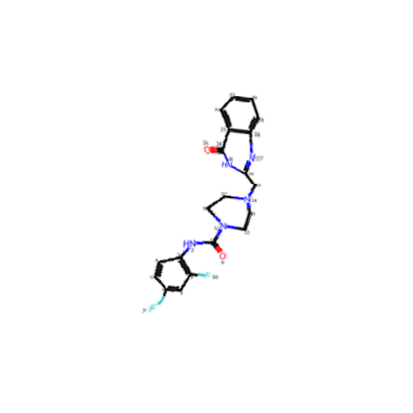 O=C(Nc1ccc(F)cc1F)N1CCN(Cc2nc3ccccc3c(=O)[nH]2)CC1